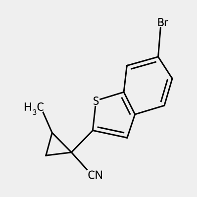 CC1CC1(C#N)c1cc2ccc(Br)cc2s1